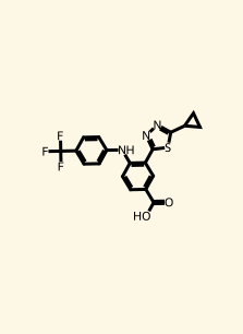 O=C(O)c1ccc(Nc2ccc(C(F)(F)F)cc2)c(-c2nnc(C3CC3)s2)c1